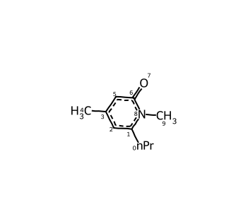 CCCc1cc(C)cc(=O)n1C